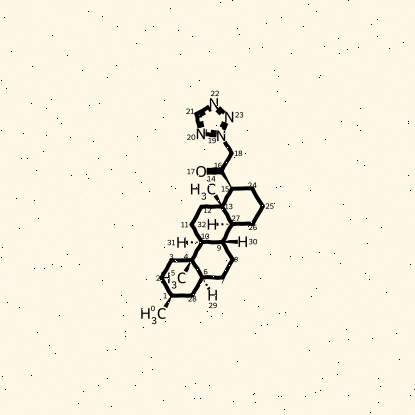 C[C@H]1CC[C@@]2(C)[C@@H](CC[C@@H]3[C@@H]2CC[C@]2(C)[C@@H](C(=O)Cn4ncnn4)CCC[C@@H]32)C1